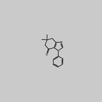 CC1(C)CC(=O)c2c(ncn2-c2ccccc2)C1